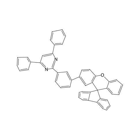 c1ccc(-c2cc(-c3ccccc3)nc(-c3cccc(-c4ccc5c(c4)C4(c6ccccc6O5)c5ccccc5-c5ccccc54)c3)n2)cc1